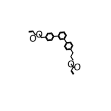 C=CC(=O)OCCCc1ccc(-c2cccc(-c3ccc(COC(=O)C=C)cc3)c2)cc1